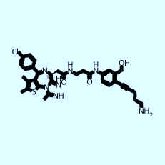 CC(=N)N1C(=N)[C@H](CC(=O)NCCC(=O)Nc2ccc(C#CCCCN)c(CO)c2)N=C(c2ccc(Cl)cc2)c2c1sc(C)c2C